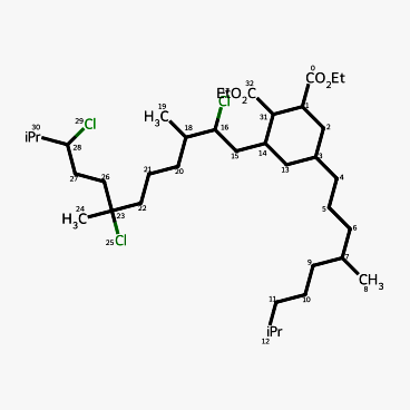 CCOC(=O)C1CC(CCCC(C)CCCC(C)C)CC(CC(Cl)C(C)CCCC(C)(Cl)CCC(Cl)C(C)C)C1C(=O)OCC